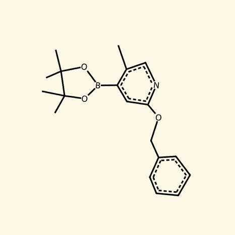 Cc1cnc(OCc2ccccc2)cc1B1OC(C)(C)C(C)(C)O1